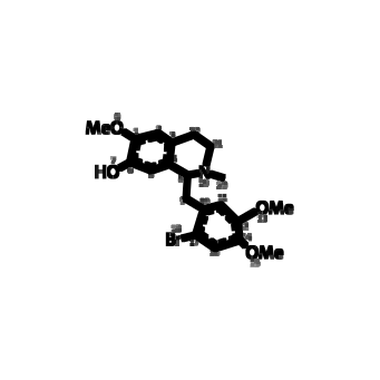 COc1cc2c(cc1O)C(Cc1cc(OC)c(OC)cc1Br)N(C)CC2